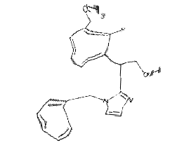 Cc1cccc(C(CO)c2nccn2Cc2ccccc2)c1F